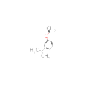 C=COc1cccc(C(C)C)c1